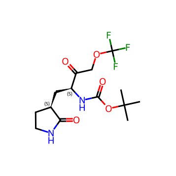 CC(C)(C)OC(=O)N[C@@H](C[C@@H]1CCNC1=O)C(=O)COC(F)(F)F